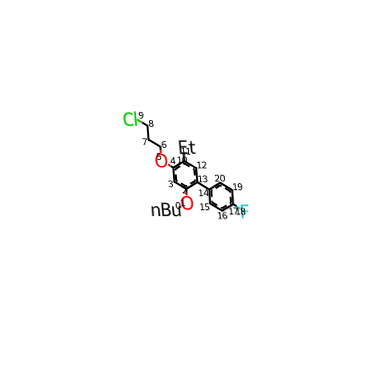 CCCCOc1cc(OCCCCl)c(CC)cc1-c1ccc(F)cc1